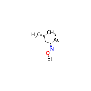 C=C(C)CC(=NOCC)C(C)=O